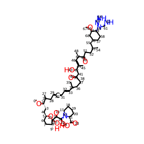 CO[C@@H](CC[C@@H]1CC[C@@H](C)C(O)(C(=O)C(=O)N2CCCC[C@H]2C(=O)O)O1)C(C)CC=C=C/C=C/C(C)C[C@@H](C)C(=O)C[C@H](O)/C(C)=C/[C@@H](C)C(=O)CC[C@H](C)C[C@@H]1CC[C@H](N(C=N)N=N)[C@H](OC)C1